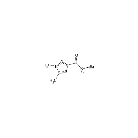 Cc1cc(C(=O)NC(C)(C)C)nn1C